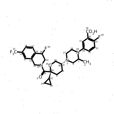 CC1CN([C@@H]2CC[C@@](C(=O)N3Cc4cc(C(F)(F)F)ccc4C(F)C3)(C3CC3)OC2)CCN1c1ccc(F)c(C(=O)O)c1